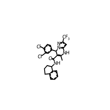 CC1=C(C(=O)NC2CCCc3ccccc32)C(c2ccc(Cl)c(Cl)c2)n2nc(C(F)(F)F)cc2N1